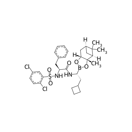 CC1(C)[C@@H]2C[C@H]3OB([C@H](CC4CCC4)NC(=O)[C@H](Cc4ccccc4)NS(=O)(=O)c4cc(Cl)ccc4Cl)O[C@@]3(C)[C@H]1C2